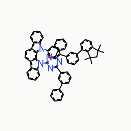 CC1(C)CC(C)(C)c2c(-c3cccc(-c4ccc(-n5c6ccccc6c6ccc7c8ccccc8n(-c8nc(-c9ccccc9)nc(-c9cccc(-c%10ccccc%10)c9)n8)c7c65)cc4)c3)cccc21